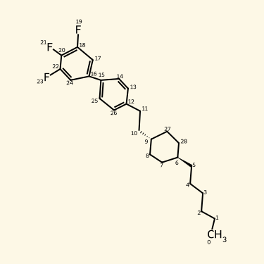 CCCCCC[C@H]1CC[C@H](CCc2ccc(-c3cc(F)c(F)c(F)c3)cc2)CC1